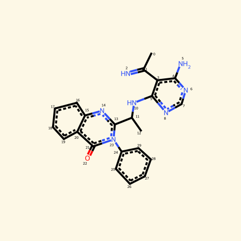 CC(=N)c1c(N)ncnc1NC(C)c1nc2ccccc2c(=O)n1-c1ccccc1